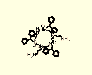 NCCCN1CC(=O)N(CC(c2ccccc2)c2ccccc2)CC(=O)N(CCCN)CC(=O)N(CC(c2ccccc2)c2ccccc2)CC(=O)NCC(=O)N(CC(c2ccccc2)c2ccccc2)CC1=O